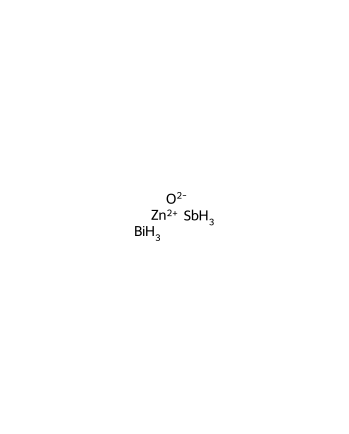 [BiH3].[O-2].[SbH3].[Zn+2]